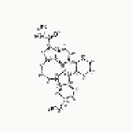 CC(C)NC(=O)c1cn2c3c(cccc13)-c1c(C3CCCCC3)c3ccc(C(=O)O)cc3n1CCC2